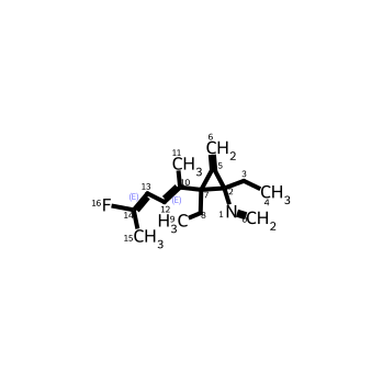 C=NC1(CC)C(=C)C1(CC)/C(C)=C/C=C(\C)F